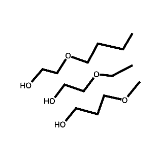 CCCCOCCO.CCOCCO.COCCCO